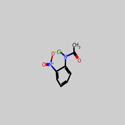 CC(=O)N(Cl)c1ccccc1[N+](=O)[O-]